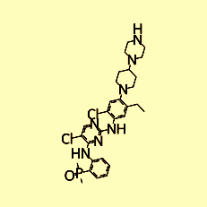 CCc1cc(Nc2ncc(Cl)c(Nc3ccccc3P(C)(C)=O)n2)c(Cl)cc1N1CCC(N2CCNCC2)CC1